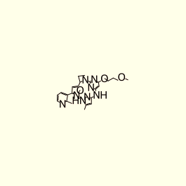 COCCCOc1cc(Nc2cc(C)[nH]n2)nc(N2CCC2c2cc(-c3cccnc3C)no2)n1